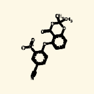 CC1(C)OC(=O)c2c(Oc3ccc(C#N)cc3[N+](=O)[O-])cccc2O1